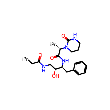 CC(C)CC(=O)NC[C@H](O)[C@H](Cc1ccccc1)NC(=O)[C@H](C(C)C)N1CCCNC1=O